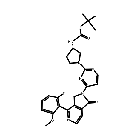 COc1cccc(F)c1-c1nccc2c1CN(c1ccnc(N3CC[C@H](NC(=O)OC(C)(C)C)C3)n1)C2=O